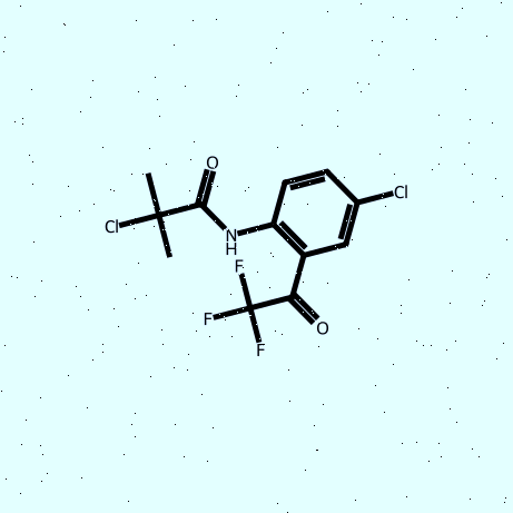 CC(C)(Cl)C(=O)Nc1ccc(Cl)cc1C(=O)C(F)(F)F